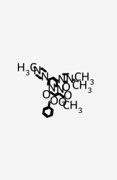 COC(=O)c1nc2c(N3CCN(C(C)C)C3=O)cc(N3CCN(C)CC3)cn2c(=O)c1OCc1ccccc1